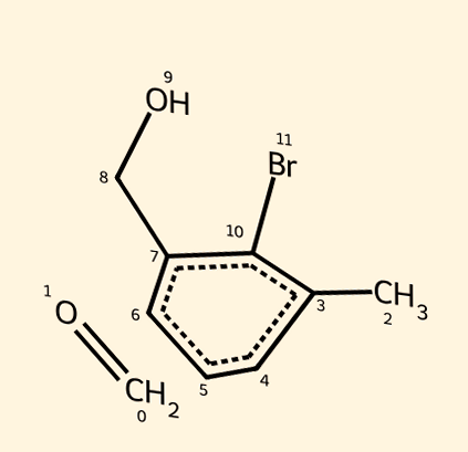 C=O.Cc1cccc(CO)c1Br